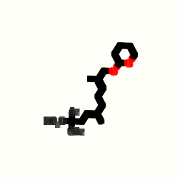 CC(=O)OC(CC=C(C)CCC=C(C)COC1CCCCO1)(C(C)=O)C(=O)O